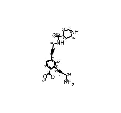 COC(=O)c1ccc(C#CCNC(=O)C2CCNCC2)cc1C#CCN